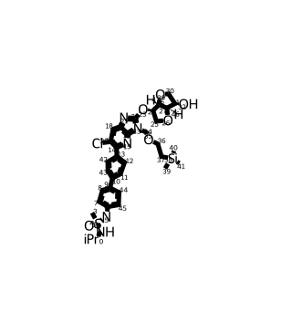 CC(C)NS(C)(=O)=Nc1ccc(-c2ccc(-c3nc4c(cc3Cl)nc(O[C@@H]3CO[C@H]5[C@@H]3OC[C@H]5O)n4COCC[Si](C)(C)C)cc2)cc1